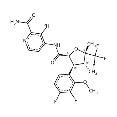 [2H]c1c(NC(=O)[C@H]2O[C@](C)(C(F)(F)F)[C@H](C)[C@H]2c2ccc(F)c(F)c2OC)ccnc1C(N)=O